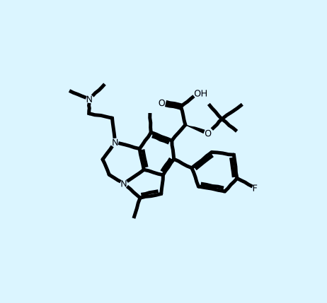 Cc1c([C@H](OC(C)(C)C)C(=O)O)c(-c2ccc(F)cc2)c2cc(C)n3c2c1N(CCN(C)C)CC3